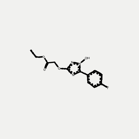 CCOC(=O)COc1nc(-c2ccc(F)cc2)n(O)n1